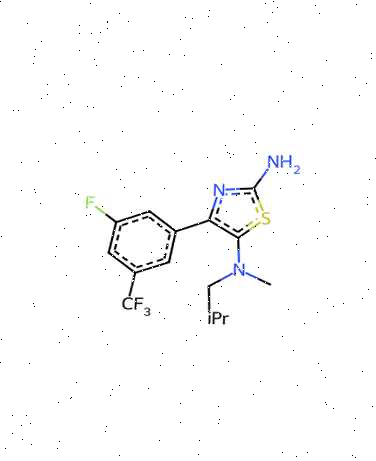 CC(C)CN(C)c1sc(N)nc1-c1cc(F)cc(C(F)(F)F)c1